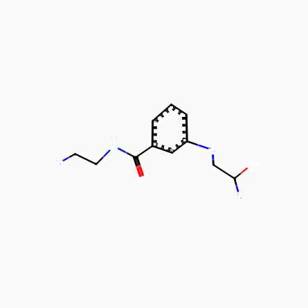 NCCNC(=O)c1cccc(NCC(N)O)c1